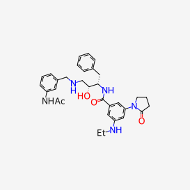 CCNc1cc(C(=O)N[C@@H](Cc2ccccc2)[C@H](O)CNCc2cccc(NC(C)=O)c2)cc(N2CCCC2=O)c1